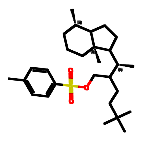 Cc1ccc(S(=O)(=O)OCC(CCC(C)(C)C)[C@@H](C)C2CCC3[C@@H](C)CCC[C@]23C)cc1